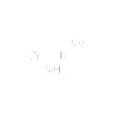 [Ce].[SiH4].[Ti].[Zr]